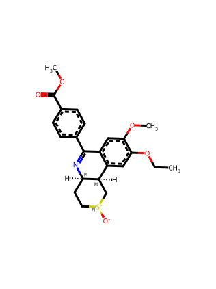 CCOc1cc2c(cc1OC)C(c1ccc(C(=O)OC)cc1)=N[C@@H]1CC[S@+]([O-])C[C@H]21